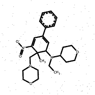 CCN(C1CCOCC1)C1C=C(c2ccccc2)C=C([N+](=O)[O-])C1(C)CN1CCOCC1